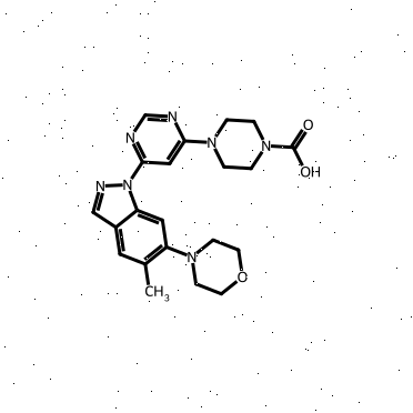 Cc1cc2cnn(-c3cc(N4CCN(C(=O)O)CC4)ncn3)c2cc1N1CCOCC1